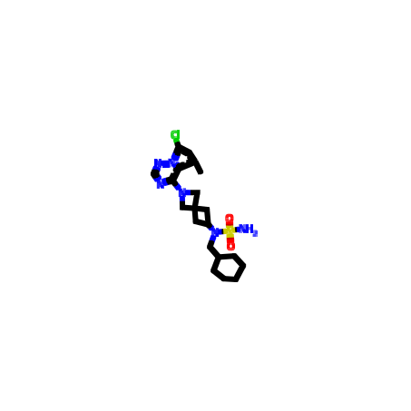 Cc1cc(Cl)n2ncnc(N3CC4(CC(N(CC5CCCCC5)S(N)(=O)=O)C4)C3)c12